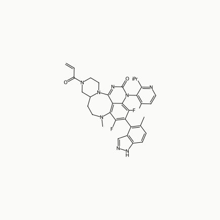 C=CC(=O)N1CCN2c3nc(=O)n(-c4c(C)ccnc4C(C)C)c4c(F)c(-c5c(C)ccc6[nH]ncc56)c(F)c(c34)N(C)CCC2C1